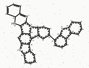 C1=CC2=Nc3c(c4cc5oc6ccccc6c5c5c6cc(-c7cccc8c7sc7ccccc78)ccc6n3c45)NC2C=C1